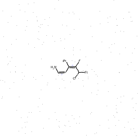 CCC(Cl)/C(F)=C(\C=C/N)C(C)C